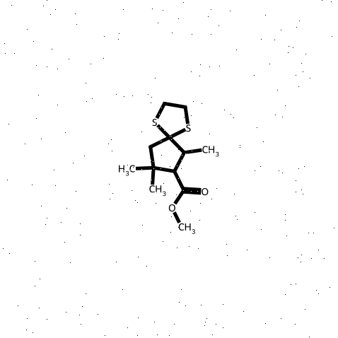 COC(=O)C1C(C)C2(CC1(C)C)SCCS2